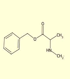 [CH2]NC(C)C(=O)OCc1ccccc1